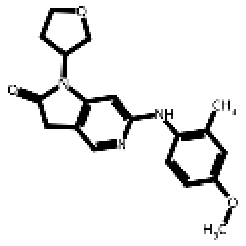 COc1ccc(Nc2cc3c(cn2)CC(=O)N3C2CCOC2)c(C)c1